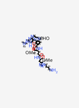 COC(=O)C(Cc1cn(CCCCN)nn1)NC(=O)CCC(NC(=O)c1ccc(N(C=O)Cc2cnc3nc(/N=C/N(C)C)[nH]c(=O)c3n2)cc1)C(=O)OC